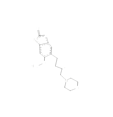 COc1cc2[nH]c(=O)sc2cc1CCCCN1CCOCC1